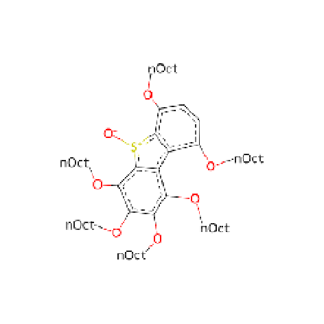 CCCCCCCCOc1c(OCCCCCCCC)c(OCCCCCCCC)c2c(c1OCCCCCCCC)c1c(OCCCCCCCC)ccc(OCCCCCCCC)c1[s+]2[O-]